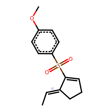 C/C=C1\CCC=C1S(=O)(=O)c1ccc(OC)cc1